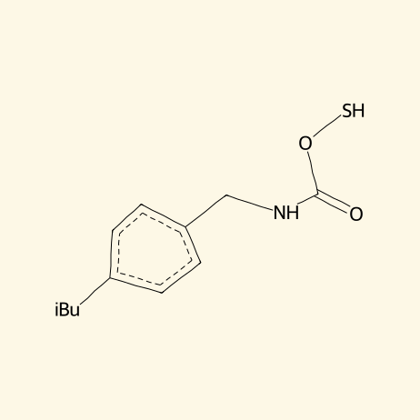 CCC(C)c1ccc(CNC(=O)OS)cc1